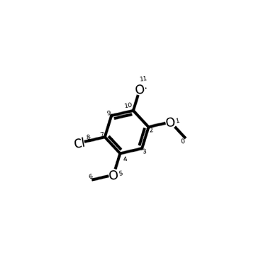 COc1cc(OC)c(Cl)cc1[O]